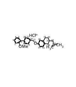 COc1ccccc1-c1ccc(COc2ccc3c(c2)CCC(CN(C)C)C3)cc1.Cl